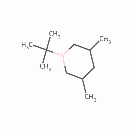 CC1CB(C(C)(C)C)CC(C)C1